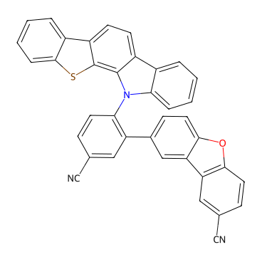 N#Cc1ccc(-n2c3ccccc3c3ccc4c5ccccc5sc4c32)c(-c2ccc3oc4ccc(C#N)cc4c3c2)c1